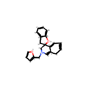 C1=CCC2=CN(Cc3ccco3)CC3(Cc4ccccc4O3)C2=C1